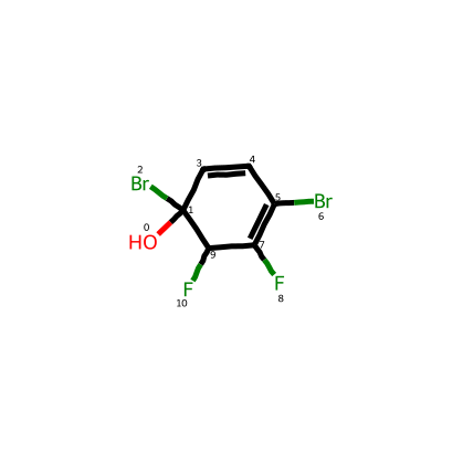 OC1(Br)C=CC(Br)=C(F)C1F